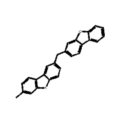 Cc1ccc2c(c1)sc1ccc(Cc3ccc4c(c3)oc3ccccc34)cc12